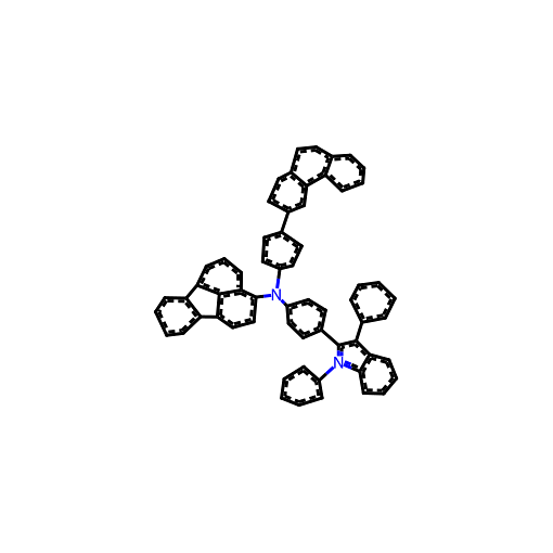 c1ccc(-c2c(-c3ccc(N(c4ccc(-c5ccc6ccc7ccccc7c6c5)cc4)c4ccc5c6c(cccc46)-c4ccccc4-5)cc3)n(-c3ccccc3)c3ccccc23)cc1